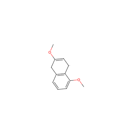 COC1=C[CH]c2c(cccc2OC)C1